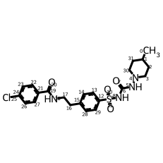 CC1CCN(NC(=O)NS(=O)(=O)c2ccc(CCNC(=O)c3ccc(Cl)cc3)cc2)CC1